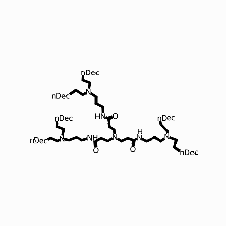 CCCCCCCCCCCCN(CCCCCCCCCCCC)CCCNC(=O)CCN(CCC(=O)NCCCN(CCCCCCCCCCCC)CCCCCCCCCCCC)CCC(=O)NCCCN(CCCCCCCCCCCC)CCCCCCCCCCCC